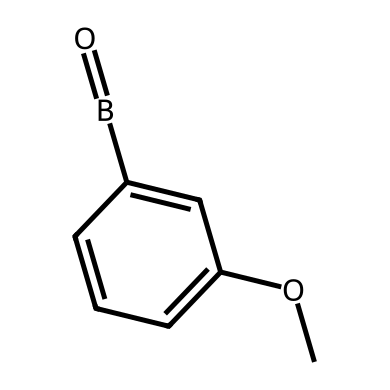 COc1cccc(B=O)c1